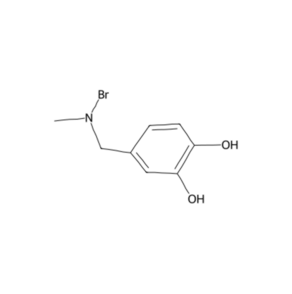 CN(Br)Cc1ccc(O)c(O)c1